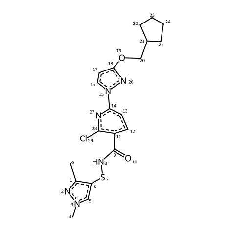 Cc1nn(C)cc1SNC(=O)c1ccc(-n2ccc(OCC3CCCC3)n2)nc1Cl